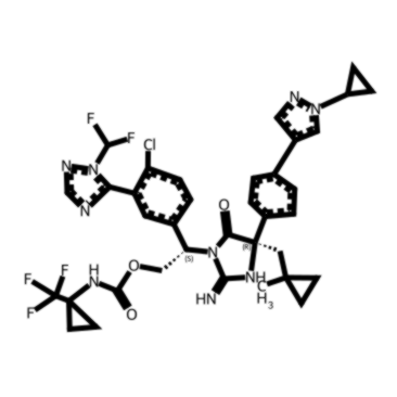 CC1(C[C@]2(c3ccc(-c4cnn(C5CC5)c4)cc3)NC(=N)N([C@H](COC(=O)NC3(C(F)(F)F)CC3)c3ccc(Cl)c(-c4ncnn4C(F)F)c3)C2=O)CC1